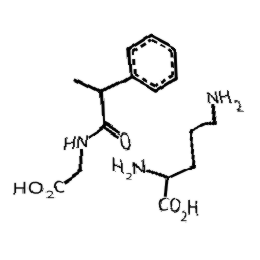 CC(C(=O)NCC(=O)O)c1ccccc1.NCCCC(N)C(=O)O